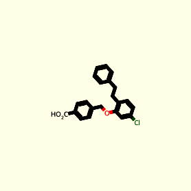 O=C(O)c1ccc(COc2cc(Cl)ccc2CCc2ccccc2)cc1